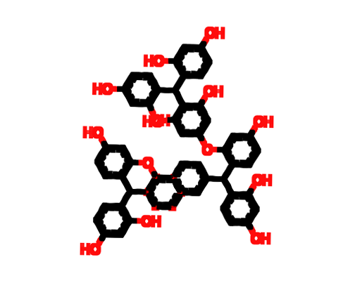 Oc1ccc(C(c2ccc3c(Oc4cc(O)ccc4C(c4ccc(O)cc4O)C4CCCCC4)cccc3c2)c2ccc(O)cc2Oc2cc(O)c(C(c3ccc(O)cc3O)c3ccc(O)cc3O)c(O)c2)c(O)c1